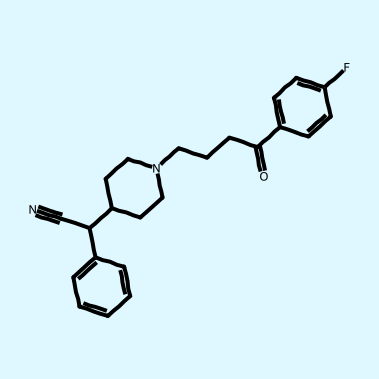 N#CC(c1ccccc1)C1CCN(CCCC(=O)c2ccc(F)cc2)CC1